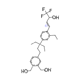 CCc1cc(C(CC)(CC)CCc2ccc(CO)c(CO)c2)ccc1/C=C/C(O)C(F)(F)F